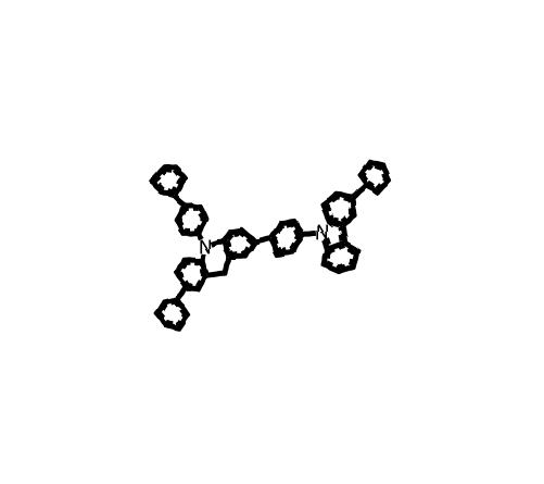 c1ccc(-c2ccc(N3c4ccc(-c5ccccc5)cc4Cc4cc(-c5ccc(-n6c7ccccc7c7cc(-c8ccccc8)ccc76)cc5)ccc43)cc2)cc1